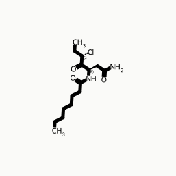 CCCCCCCC(=O)N[C@H](CC(N)=O)C(=O)[C@@H](Cl)CC